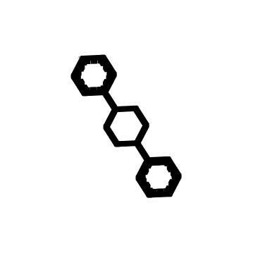 [c]1ccc(C2CCC(c3ccccc3)CC2)cc1